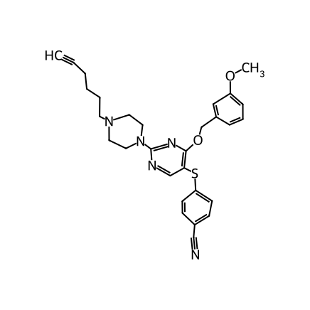 C#CCCCCN1CCN(c2ncc(Sc3ccc(C#N)cc3)c(OCc3cccc(OC)c3)n2)CC1